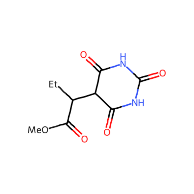 CCC(C(=O)OC)C1C(=O)NC(=O)NC1=O